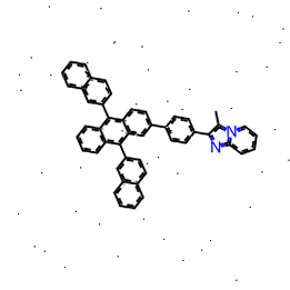 Cc1c(-c2ccc(-c3ccc4c(-c5ccc6ccccc6c5)c5ccccc5c(-c5ccc6ccccc6c5)c4c3)cc2)nc2ccccn12